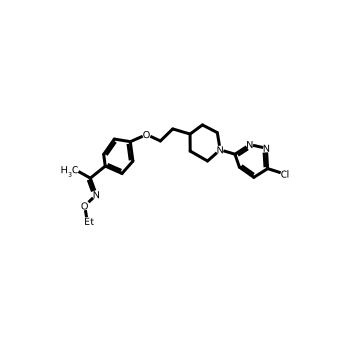 CCON=C(C)c1ccc(OCCC2CCN(c3ccc(Cl)nn3)CC2)cc1